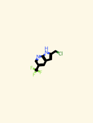 FC(F)(F)c1cnc2[nH]c(CCl)cc2c1